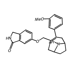 CCCN1C2CCC1CC(c1cccc(OC)c1)=C(COc1ccc3c(c1)C(=O)NC3)C2